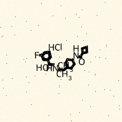 CC(C)(CC1CCC(NC(=O)C2CCC2)CC1)NC[C@H](O)c1cccc(F)c1.Cl